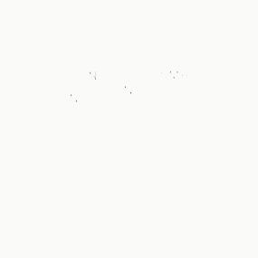 CSn1nnc2ccccc21